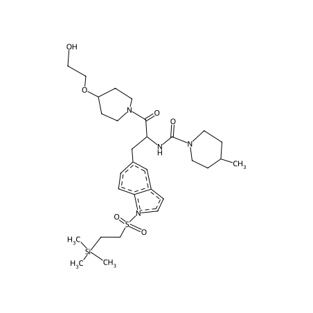 CC1CCN(C(=O)NC(Cc2ccc3c(ccn3S(=O)(=O)CC[Si](C)(C)C)c2)C(=O)N2CCC(OCCO)CC2)CC1